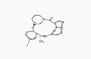 C[C@H]1Nc2ccn3ncc(c3n2)C(=O)N2CCC[C@H](C2)Oc2ccc(F)cc21